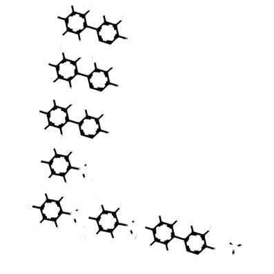 CCCCP(CC)c1c(F)c(C)c(F)c(F)c1F.CCCCP(CC)c1c(F)c(C)c(F)c(F)c1F.CCCCP(CC)c1c(F)c(C)c(F)c(F)c1F.Fc1ccc(-c2c(F)c(F)c(F)c(F)c2F)c(F)c1F.Fc1ccc(-c2c(F)c(F)c(F)c(F)c2F)c(F)c1F.Fc1ccc(-c2c(F)c(F)c(F)c(F)c2F)c(F)c1F.Fc1ccc(-c2c(F)c(F)c(F)c(F)c2F)c(F)c1F.OB(O)O